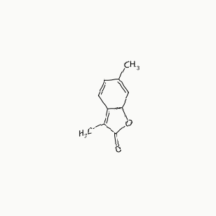 CC1=CC2OC(=O)C(C)=C2C=C1